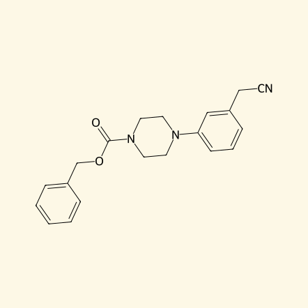 N#CCc1cccc(N2CCN(C(=O)OCc3ccccc3)CC2)c1